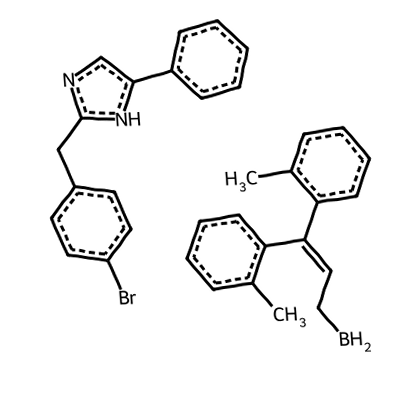 BCC=C(c1ccccc1C)c1ccccc1C.Brc1ccc(Cc2ncc(-c3ccccc3)[nH]2)cc1